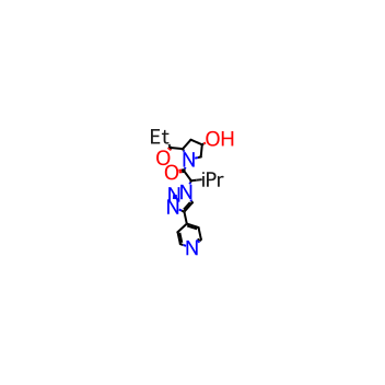 CCC(=O)C1CC(O)CN1C(=O)C(C(C)C)n1cc(-c2ccncc2)nn1